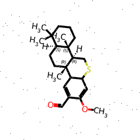 COC1=CC2SC[C@@H]3[C@@]4(C)CCCC(C)(C)[C@@H]4CC[C@@]3(C)C2C=C1C=O